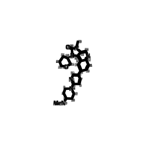 CNC1CCN(c2ccc(-c3ccc4ncc5c(c4c3)n([C@H]3CCCOC3)c(=O)n5C)cn2)CC1